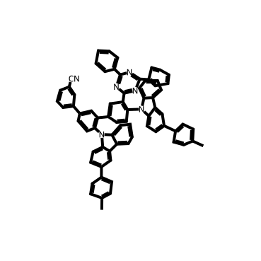 Cc1ccc(-c2ccc3c(c2)c2ccccc2n3-c2ccc(-c3cccc(C#N)c3)cc2-c2ccc(-n3c4ccccc4c4cc(-c5ccc(C)cc5)ccc43)c(-c3nc(-c4ccccc4)nc(-c4ccccc4)n3)c2)cc1